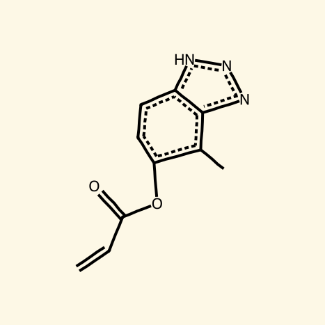 C=CC(=O)Oc1ccc2[nH]nnc2c1C